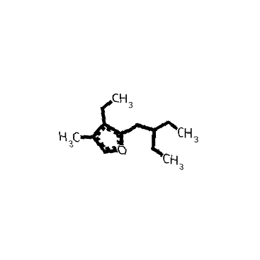 CCc1c(C)coc1CC(CC)CC